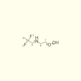 CC(F)(F)CNCCOO